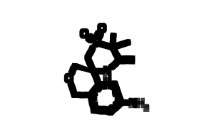 C=C1N[C@@]2(COCc3ccc(N)cc32)CS(=O)(=O)C1(C)C